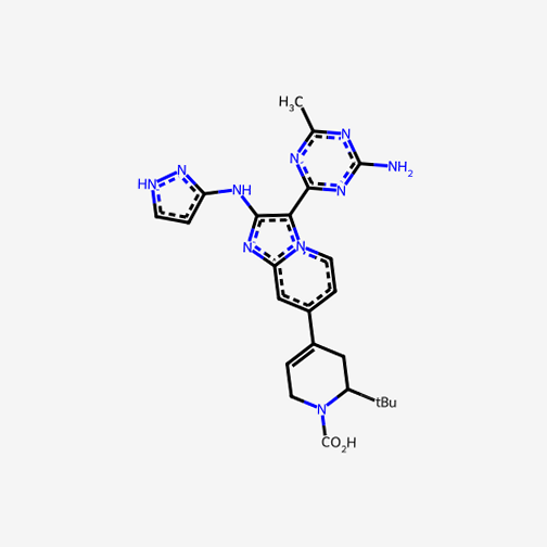 Cc1nc(N)nc(-c2c(Nc3cc[nH]n3)nc3cc(C4=CCN(C(=O)O)C(C(C)(C)C)C4)ccn23)n1